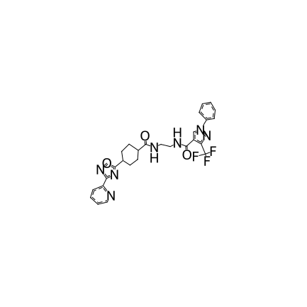 O=C(NCCNC(=O)C1CCC(c2nc(-c3ccccn3)no2)CC1)c1cn(-c2ccccc2)nc1C(F)(F)F